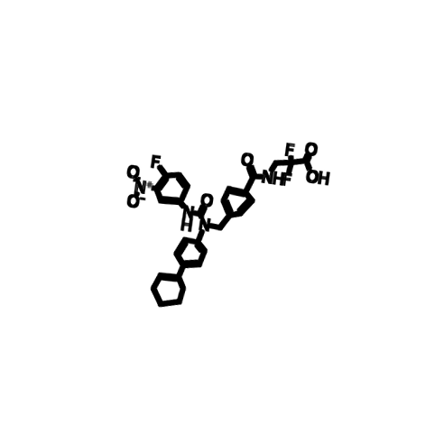 O=C(NCC(F)(F)C(=O)O)c1ccc(CN(C(=O)Nc2ccc(F)c([N+](=O)[O-])c2)c2ccc(C3=CCCCC3)cc2)cc1